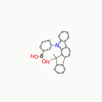 CC1(C)c2ccccc2-c2ccc3c4ccccc4n(-c4cccc(B(O)O)c4)c3c21